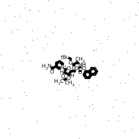 CC(NP(=O)(OCC1O[C@@H]([n+]2cccc(C(N)=O)c2)[C@@H]2OC(C)(C)O[C@H]12)Oc1cccc2ccccc12)C(=O)OCC(C)(C)C